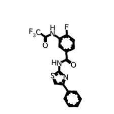 O=C(Nc1nc(-c2ccccc2)cs1)c1ccc(F)c(NC(=O)C(F)(F)F)c1